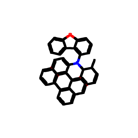 CC1C=CC=CC1N(c1ccccc1-c1cccc2cccc(-c3ccccc3)c12)c1cccc2oc3ccccc3c12